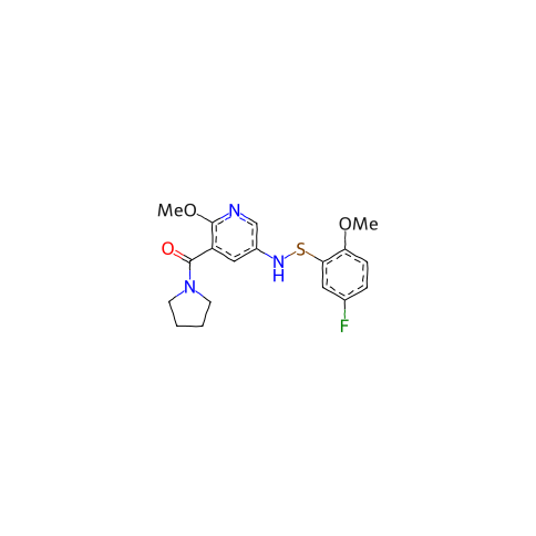 COc1ccc(F)cc1SNc1cnc(OC)c(C(=O)N2CCCC2)c1